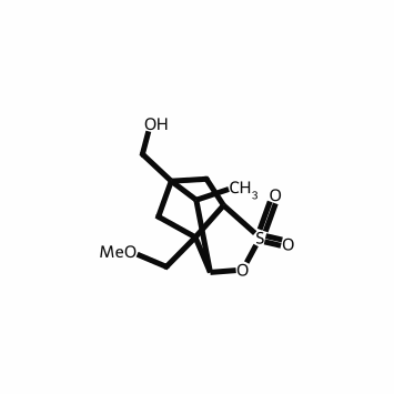 COCC12CC3(CO)CC1S(=O)(=O)OC2C3C